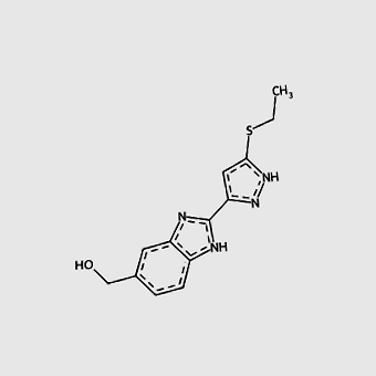 CCSc1cc(-c2nc3cc(CO)ccc3[nH]2)n[nH]1